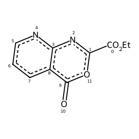 CCOC(=O)c1nc2ncccc2c(=O)o1